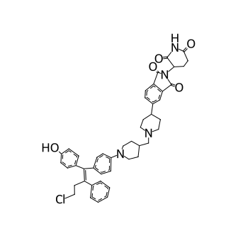 O=C1CCC(N2C(=O)c3ccc(C4CCN(CC5CCN(c6ccc(C(=C(CCCl)c7ccccc7)c7ccc(O)cc7)cc6)CC5)CC4)cc3C2=O)C(=O)N1